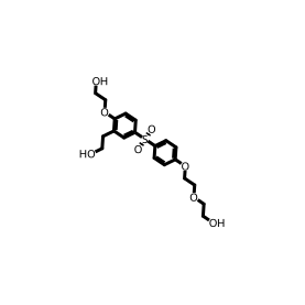 O=S(=O)(c1ccc(OCCOCCO)cc1)c1ccc(OCCO)c(CCO)c1